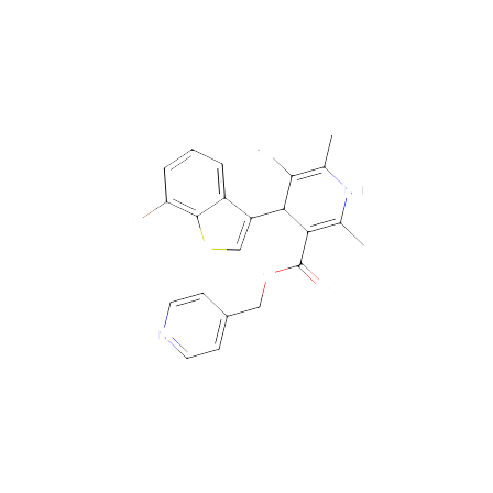 CC(=O)C1=C(C)NC(C)=C(C(=O)OCc2ccncc2)C1c1csc2c(Br)cccc12